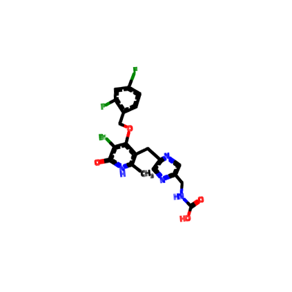 Cc1[nH]c(=O)c(Br)c(OCc2ccc(F)cc2F)c1Cc1cnc(CNC(=O)O)cn1